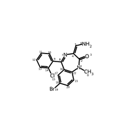 CN1C(=O)C(=CN)N=C(c2ccccc2Cl)c2cc(Br)ccc21